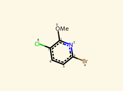 COc1nc(Br)ccc1Cl